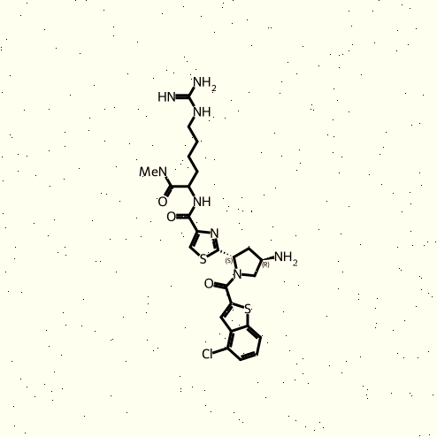 CNC(=O)C(CCCCNC(=N)N)NC(=O)c1csc([C@@H]2C[C@@H](N)CN2C(=O)c2cc3c(Cl)cccc3s2)n1